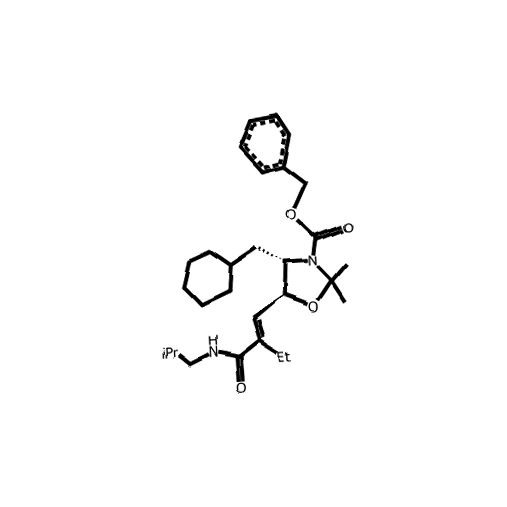 CC/C(=C\[C@@H]1OC(C)(C)N(C(=O)OCc2ccccc2)[C@H]1CC1CCCCC1)C(=O)NCC(C)C